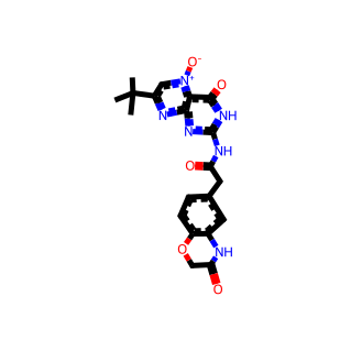 CC(C)(C)c1c[n+]([O-])c2c(=O)[nH]c(NC(=O)Cc3ccc4c(c3)NC(=O)CO4)nc2n1